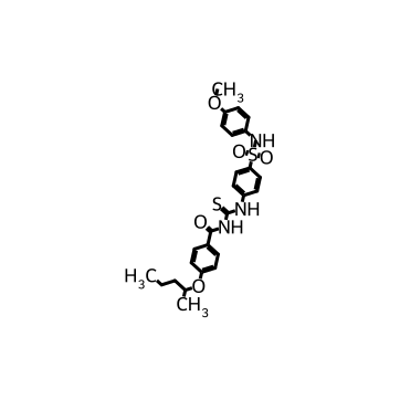 CCCC(C)Oc1ccc(C(=O)NC(=S)Nc2ccc(S(=O)(=O)Nc3ccc(OC)cc3)cc2)cc1